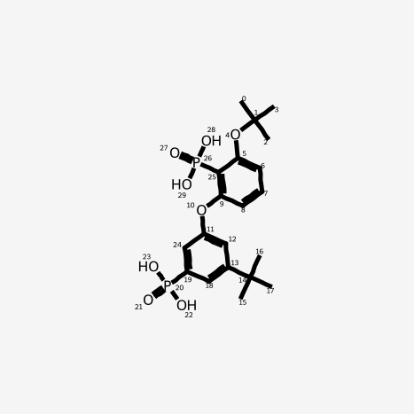 CC(C)(C)Oc1cccc(Oc2cc(C(C)(C)C)cc(P(=O)(O)O)c2)c1P(=O)(O)O